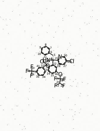 O=S(=O)(N[C@](Cc1ccccc1)(c1cccc(OC(F)(F)C(F)F)c1)c1ccc(Cl)cn1)c1cccc(C(F)(F)F)c1